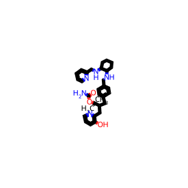 CC(C)(OC(N)=O)C(Cc1ccc(CNC2CCCCC2NCc2ccccn2)cc1)Cc1ncccc1O